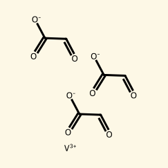 O=CC(=O)[O-].O=CC(=O)[O-].O=CC(=O)[O-].[V+3]